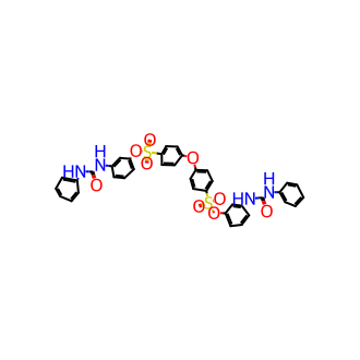 O=C(Nc1ccccc1)Nc1cccc(OS(=O)(=O)c2ccc(Oc3ccc(S(=O)(=O)Oc4cccc(NC(=O)Nc5ccccc5)c4)cc3)cc2)c1